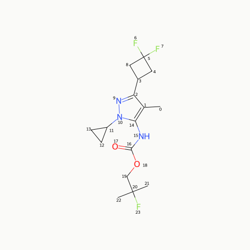 Cc1c(C2CC(F)(F)C2)nn(C2CC2)c1NC(=O)OCC(C)(C)F